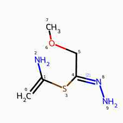 C=C(N)S/C(COC)=N\N